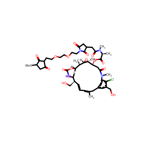 CSC1CC(=O)C(CCOCCOCCN2C(=O)CC(CC(=O)N(C)[C@@H](C)C(=O)O[C@H]3CC(=O)N(C)c4cc(cc(CO)c4Cl)C/C(C)=C/C=C/[C@@H](CO)[C@@]4(O)C[C@H](OC(=O)N4)[C@@H](C)[C@@H]4O[C@@]34C)C2=O)C1=O